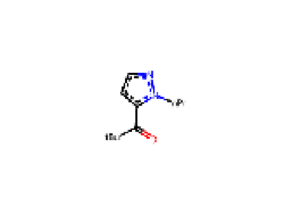 CCCn1nccc1C(=O)C(C)(C)C